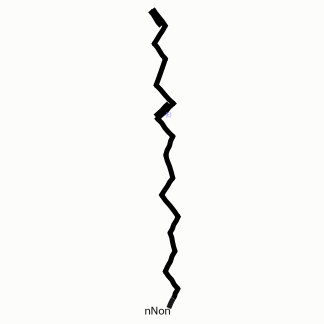 C=CCCC/C=C/CCCCCCCCCCCCCCCCCC